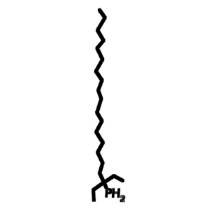 CCCCCCCCCCCCCCCCCC(P)(CC)CC